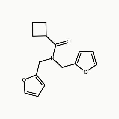 O=C(C1CCC1)N(Cc1ccco1)Cc1ccco1